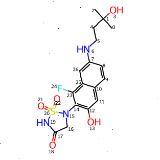 CC(C)(O)CCNc1ccc2cc(O)c(N3CC(=O)NS3(=O)=O)c(F)c2c1